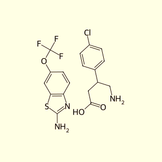 NCC(CC(=O)O)c1ccc(Cl)cc1.Nc1nc2ccc(OC(F)(F)F)cc2s1